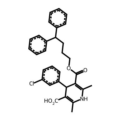 CC1=C(C(=O)O)C(c2cccc(Cl)c2)C(C(=O)OCCCC(c2ccccc2)c2ccccc2)=C(C)N1